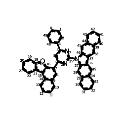 c1ccc(-c2cc(-c3cc4ccccc4c4c3oc3ccccc34)nc(-n3c4cc5ccccc5cc4c4cc5ccccc5cc43)n2)cc1